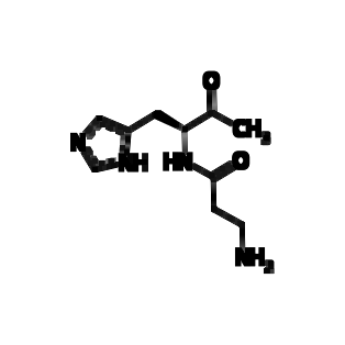 CC(=O)[C@H](Cc1cnc[nH]1)NC(=O)CCN